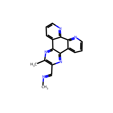 C/N=C/c1nc2c3cccnc3c3ncccc3c2nc1C